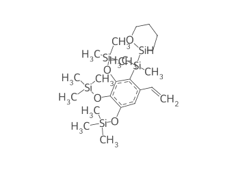 C=Cc1cc(O[Si](C)(C)C)c(O[Si](C)(C)C)c(O[Si](C)(C)C)c1[Si](C)(C)[SiH]1CCCCO1